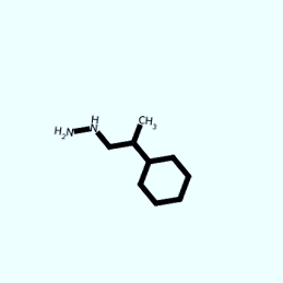 CC(CNN)C1CCCCC1